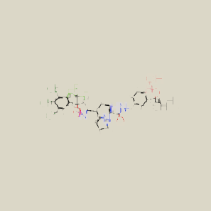 CC1(C)OB(O)c2ccc(CNC(=O)c3ccc(C4=NOC(c5cc(Cl)c(Cl)c(Cl)c5)(C(F)(F)F)C4)c4cccn34)cc21